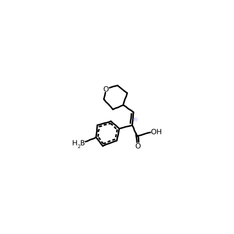 Bc1ccc(/C(=C\C2CCOCC2)C(=O)O)cc1